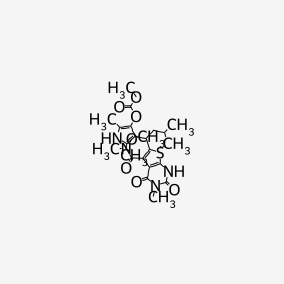 COC(=O)Oc1c(C)[nH]c(C)c1C(CC(C)C)c1sc2[nH]c(=O)n(C)c(=O)c2c1C(=O)N(C)OC